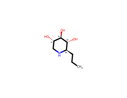 CCC[C@H]1NC[C@H](O)[C@@H](O)[C@@H]1O